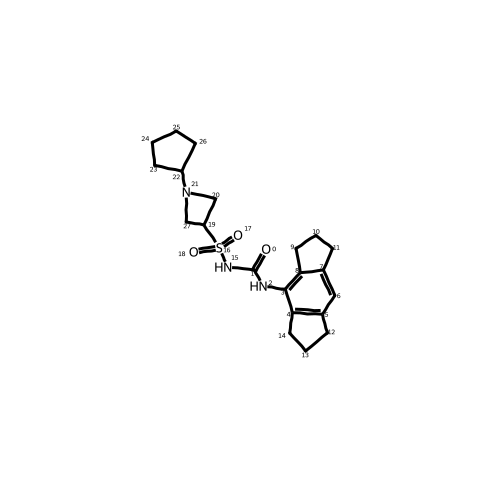 O=C(Nc1c2c(cc3c1CCC3)CCC2)NS(=O)(=O)C1CN(C2CCCC2)C1